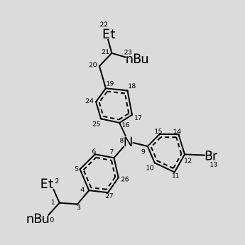 CCCCC(CC)Cc1ccc(N(c2ccc(Br)cc2)c2ccc(CC(CC)CCCC)cc2)cc1